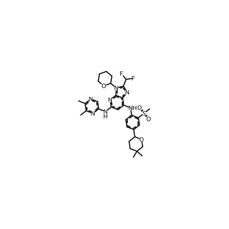 Cc1ncc(Nc2cc(Nc3ccc(C4CCC(C)(C)CO4)cc3S(C)(=O)=O)c3nc(C(F)F)n(C4CCCCO4)c3n2)nc1C